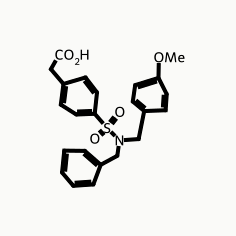 COc1ccc(CN(Cc2ccccc2)S(=O)(=O)c2ccc(CC(=O)O)cc2)cc1